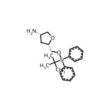 CC(C)(C)[Si](OC[C@@H]1C[C@H](N)CO1)(c1ccccc1)c1ccccc1